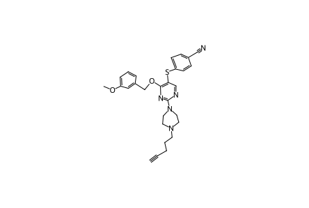 C#CCCCN1CCN(c2ncc(Sc3ccc(C#N)cc3)c(OCc3cccc(OC)c3)n2)CC1